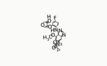 COc1cc(N=S(C)(=O)C2CC2)cc2ncnc(Nc3ccc(F)cc3O[C@H]3COC[C@H]3O)c12